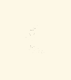 [O-][S+]1CC2(CCN(CCC(F)c3ccc(C(F)(F)F)cc3)C2)C1